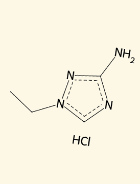 CCn1cnc(N)n1.Cl